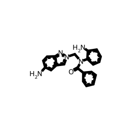 Nc1ccc2nn(CN(C(=O)c3ccccc3)c3ccccc3N)cc2c1